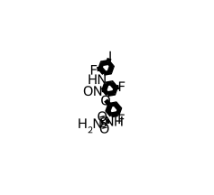 NS(=O)(=O)Nc1cc(Oc2cc(F)cc(Nc3ccc(I)cc3F)c2N=O)ccc1F